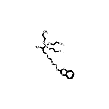 CCCO[Si](OCCC)(OCCC)C(C)CSSSSSSc1nc2ccccc2s1